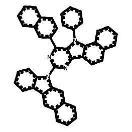 c1ccc(-n2c3c(-c4ccc5ccccc5c4)nc(-n4c5ccccc5c5cc6ccccc6cc54)nc3c3ccc4ccccc4c32)cc1